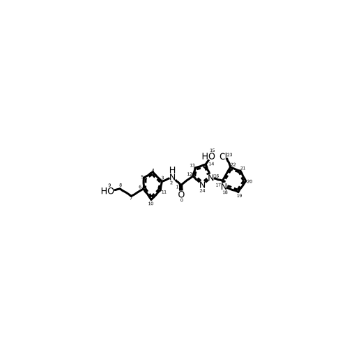 O=C(Nc1ccc(CCO)cc1)c1cc(O)n(-c2ncccc2Cl)n1